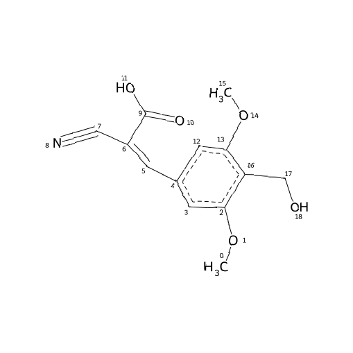 COc1cc(C=C(C#N)C(=O)O)cc(OC)c1CO